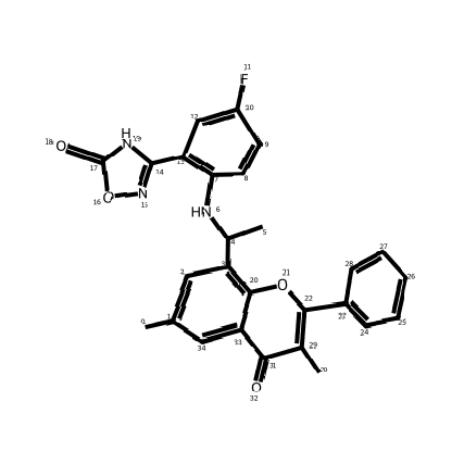 Cc1cc(C(C)Nc2ccc(F)cc2-c2noc(=O)[nH]2)c2oc(-c3ccccc3)c(C)c(=O)c2c1